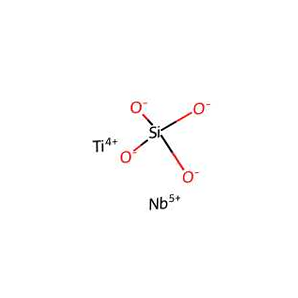 [Nb+5].[O-][Si]([O-])([O-])[O-].[Ti+4]